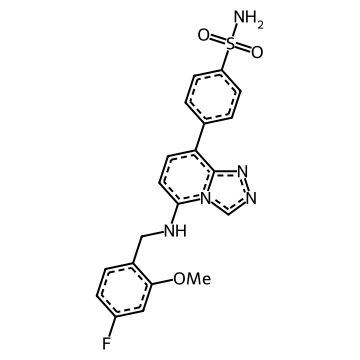 COc1cc(F)ccc1CNc1ccc(-c2ccc(S(N)(=O)=O)cc2)c2nncn12